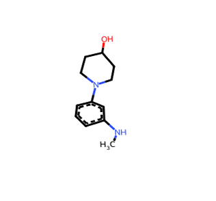 CNc1cccc(N2CCC(O)CC2)c1